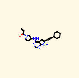 C=CC(=O)N1CC[C@@H](Nc2ncnc3[nH]c(C#CC4CCCCC4)cc23)C1